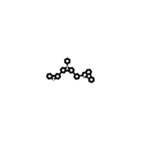 c1ccc(-n2c3ccc(-c4cccc(-c5cc6cccc7c6c(n5)-c5ccccc5-7)c4)cc3c3cc(-c4ccc5oc6ccccc6c5c4)ccc32)cc1